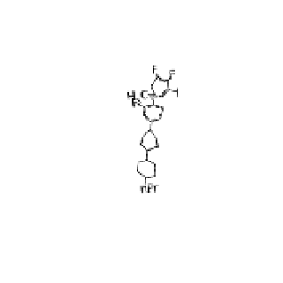 CCCC1CCC(C2CCC(c3ccc([C@@]4(C)C=C(I)C(F)=C(F)C4)c(F)c3)CC2)CC1